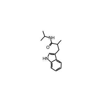 CC(C)NC(=O)C(C)Cc1c[nH]c2ccccc12